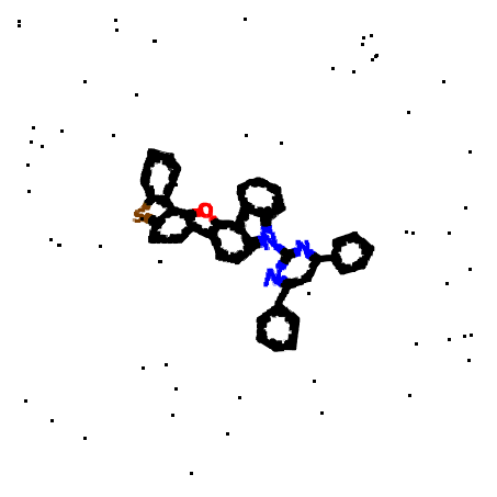 c1ccc(-c2cc(-c3ccccc3)nc(-n3c4ccccc4c4c5oc6c(ccc7sc8ccccc8c76)c5ccc43)n2)cc1